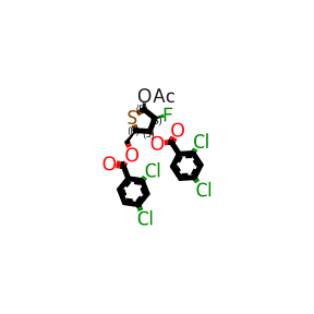 CC(=O)O[C@@H]1S[C@H](COC(=O)c2ccc(Cl)cc2Cl)[C@@H](OC(=O)c2ccc(Cl)cc2Cl)[C@@H]1F